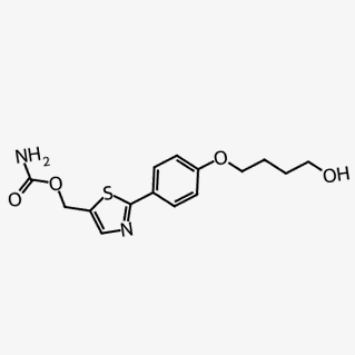 NC(=O)OCc1cnc(-c2ccc(OCCCCO)cc2)s1